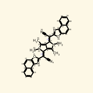 Bn1c(C)c2/c(=C(\C#N)c3nc4c(ccc5ccccc54)o3)n(B)c(C)c2/c1=C(\C#N)c1nc2c(ccc3ccccc32)o1